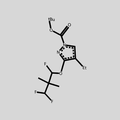 CCc1cn(C(=O)OC(C)(C)C)nc1OC(F)C(C)(C)C(F)F